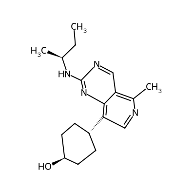 CC[C@H](C)Nc1ncc2c(C)ncc([C@H]3CC[C@H](O)CC3)c2n1